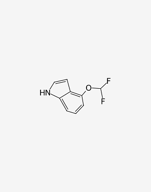 FC(F)Oc1cccc2[nH]ccc12